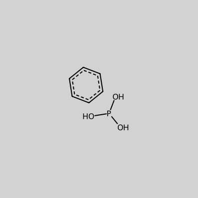 OP(O)O.c1ccccc1